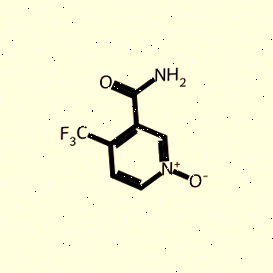 NC(=O)c1c[n+]([O-])ccc1C(F)(F)F